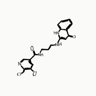 O=C(NCCCNc1cc(=O)c2ccccc2[nH]1)c1cnc(Cl)c(Cl)c1